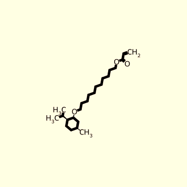 C=CC(=O)OCCCCCCCCCCCO[C@@H]1C[C@H](C)CC[C@H]1C(C)C